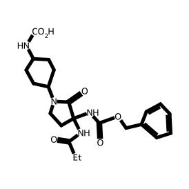 CCC(=O)NC1(NC(=O)OCc2ccccc2)CCN(C2CCC(NC(=O)O)CC2)C1=O